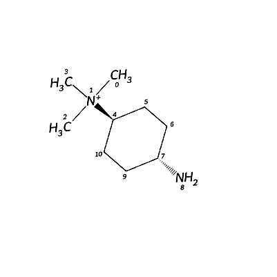 C[N+](C)(C)[C@H]1CC[C@H](N)CC1